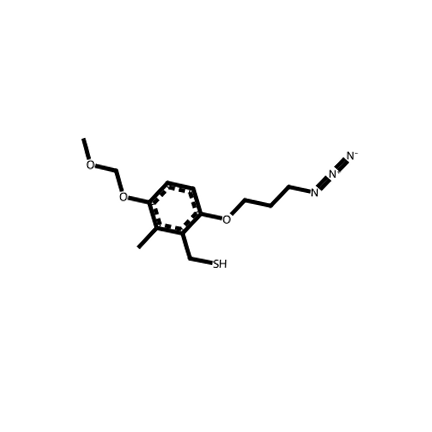 COCOc1ccc(OCCCN=[N+]=[N-])c(CS)c1C